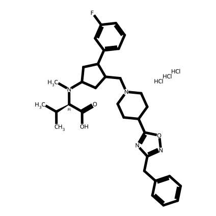 CC(C)[C@H](C(=O)O)N(C)C1CC(CN2CCC(c3nc(Cc4ccccc4)no3)CC2)C(c2cccc(F)c2)C1.Cl.Cl.Cl